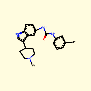 CC(C)c1cccc(NC(=O)Nc2ccc3[nH]cc(C4CCN(C(C)C)CC4)c3c2)c1